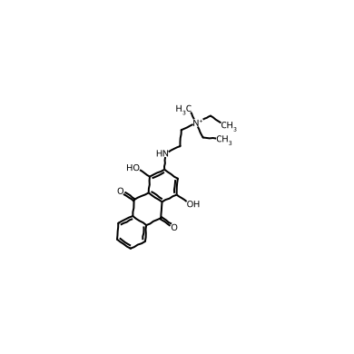 CC[N+](C)(CC)CCNc1cc(O)c2c(c1O)C(=O)c1ccccc1C2=O